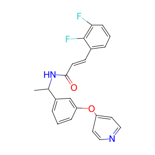 CC(NC(=O)C=Cc1cccc(F)c1F)c1cccc(Oc2ccncc2)c1